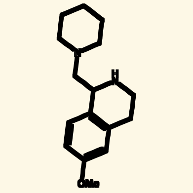 COc1ccc2c(c1)CCNC2CN1CCCCC1